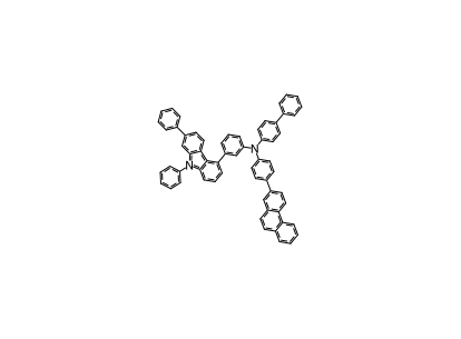 c1ccc(-c2ccc(N(c3ccc(-c4ccc5c(ccc6ccccc65)c4)cc3)c3cccc(-c4cccc5c4c4ccc(-c6ccccc6)cc4n5-c4ccccc4)c3)cc2)cc1